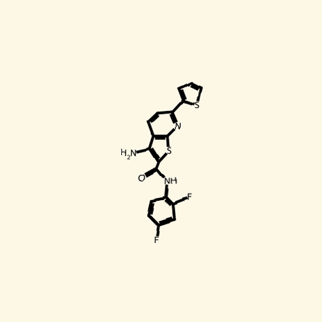 Nc1c(C(=O)Nc2ccc(F)cc2F)sc2nc(-c3cccs3)ccc12